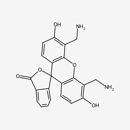 NCc1c(O)ccc2c1Oc1c(ccc(O)c1CN)C21OC(=O)c2ccccc21